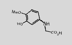 COc1ccc(NCC(=O)O)cc1O